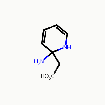 NC1(CC(=O)O)C=CC=CN1